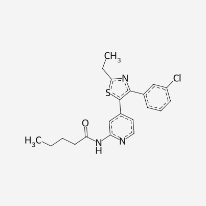 CCCCC(=O)Nc1cc(-c2sc(CC)nc2-c2cccc(Cl)c2)ccn1